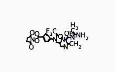 C=c1ncc(CN(C(=O)C(F)(F)F)c2ccc(C(=O)ON3C(=O)CCC3=O)cc2)n/c1=C(O)/N=C(\C)N